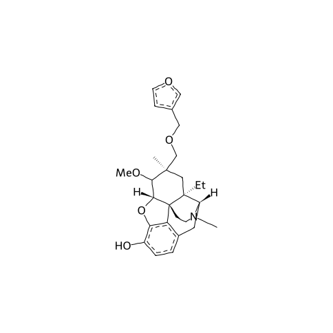 CC[C@@]12C[C@](C)(COCc3ccoc3)C(OC)[C@H]3Oc4c(O)ccc5c4[C@]31CCN(C)[C@H]2C5